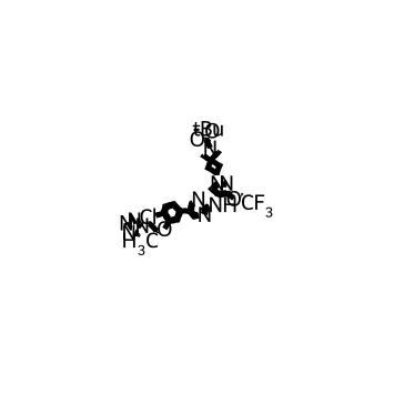 CC(Cn1cnnn1)Oc1cc(-c2cnc(Nc3cn(C4CC5(C4)CN(C(=O)OC(C)(C)C)C5)nc3OCC(F)(F)F)nc2)ccc1Cl